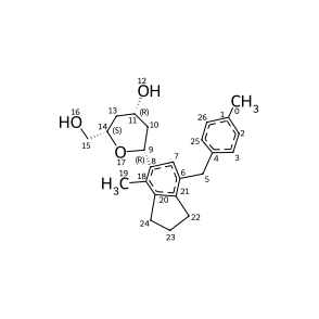 Cc1ccc(Cc2cc([C@H]3C[C@@H](O)C[C@@H](CO)O3)c(C)c3c2CCC3)cc1